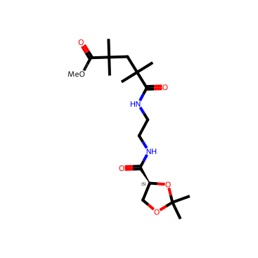 COC(=O)C(C)(C)CC(C)(C)C(=O)NCCNC(=O)[C@@H]1COC(C)(C)O1